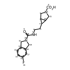 O=C(O)N1CC2C(CCNC(=O)N3Cc4ccc(F)cc4C3)C2C1